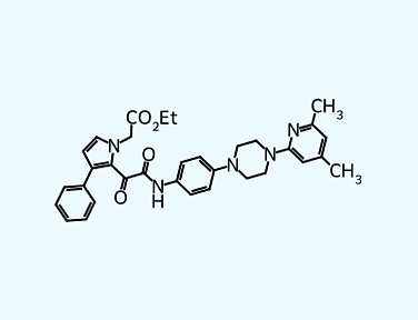 CCOC(=O)Cn1ccc(-c2ccccc2)c1C(=O)C(=O)Nc1ccc(N2CCN(c3cc(C)cc(C)n3)CC2)cc1